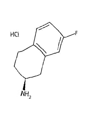 Cl.N[C@H]1CCc2ccc(F)cc2C1